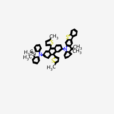 Cc1ccc(-c2c3ccc(N4c5ccccc5[Si](C)(C)c5ccccc54)cc3c(-c3ccc(C)s3)c3ccc(N4c5ccccc5C(C)(C)c5cc6c(cc54)sc4ccccc46)cc23)s1